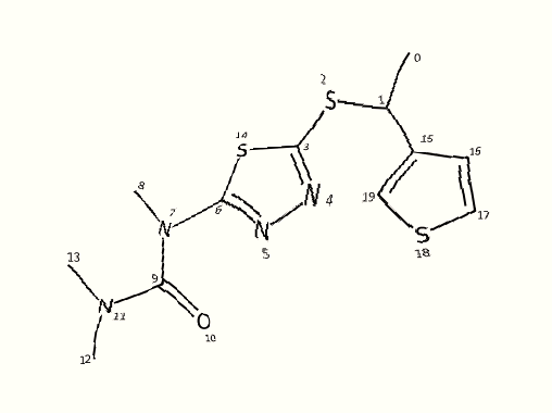 CC(Sc1nnc(N(C)C(=O)N(C)C)s1)c1ccsc1